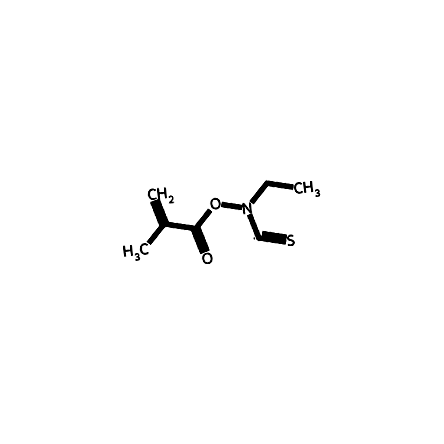 C=C(C)C(=O)ON([C]=S)CC